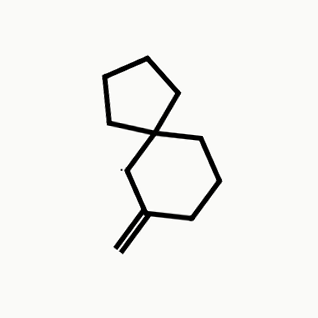 C=C1[CH]C2(CCCC2)CCC1